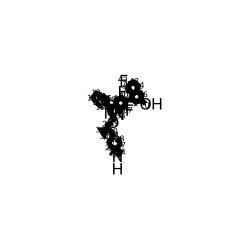 Oc1cc(-c2ccc3c(N4CC5CCC(C4)N5)nc(OCC4(CN5CCC6(CC5)CNC6)CC4)nc3c2F)c2c(F)c(F)ccc2c1